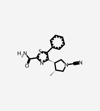 C[C@H]1CN(C#N)C[C@H]1c1nc(C(N)=O)sc1-c1ccccc1